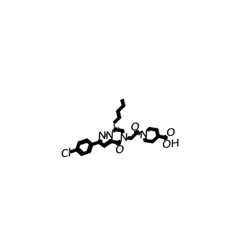 CCCCC[C@@H]1CN(CC(=O)N2CCC(C(=O)O)CC2)C(=O)c2cc(-c3ccc(Cl)cc3)nn21